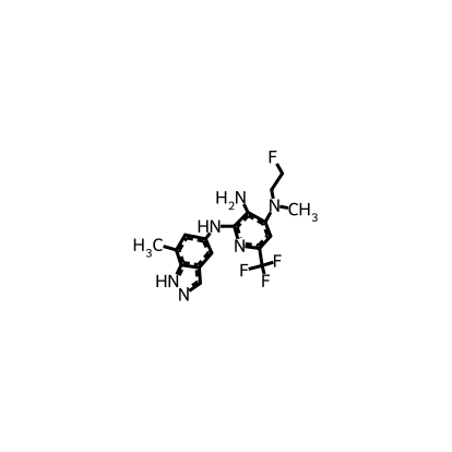 Cc1cc(Nc2nc(C(F)(F)F)cc(N(C)CCF)c2N)cc2cn[nH]c12